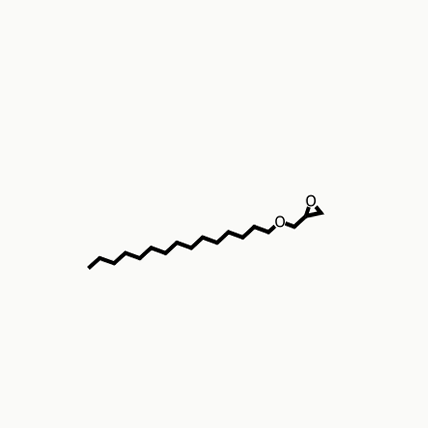 CCCCCCCCCCCCCCCOCC1CO1